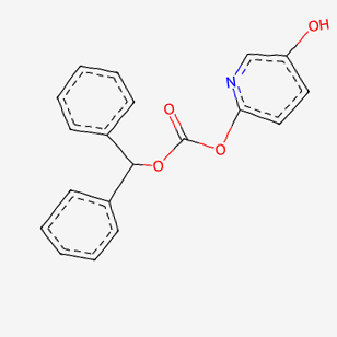 O=C(Oc1ccc(O)cn1)OC(c1ccccc1)c1ccccc1